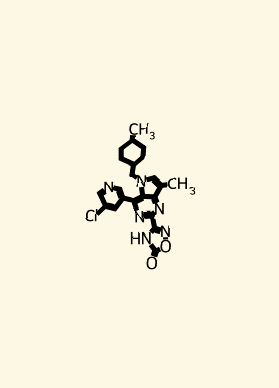 Cc1cn(CC2CCC(C)CC2)c2c(-c3cncc(Cl)c3)nc(-c3noc(=O)[nH]3)nc12